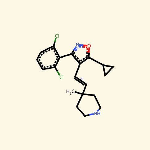 CC1(/C=C/c2c(-c3c(Cl)cccc3Cl)noc2C2CC2)CCNCC1